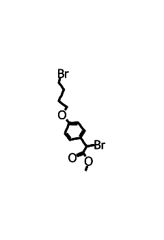 COC(=O)C(Br)c1ccc(OCCCCBr)cc1